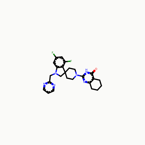 O=c1[nH]c(N2CCC3(CC2)CN(Cc2ncccn2)c2cc(F)cc(F)c23)nc2c1CCCC2